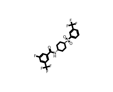 O=C(N[C@H]1CC[C@H](S(=O)(=O)c2cccc(C(F)(F)F)c2)CC1)c1cc(F)cc(C(F)(F)F)c1